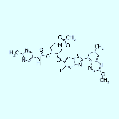 COc1cnc2c(-c3nc4cc(F)c(O[C@@H]5CN(S(C)(=O)=O)CC[C@@H]5OC(=O)Nc5cnc(C)nc5)cc4s3)cc(C)cc2n1